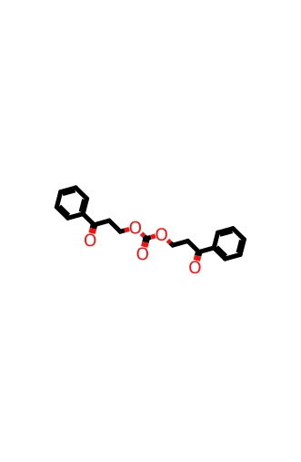 O=C(OCCC(=O)c1ccccc1)OCCC(=O)c1ccccc1